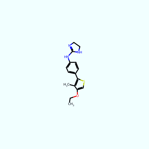 CCOc1csc(-c2ccc(NC3=NCCN3)cc2)c1C